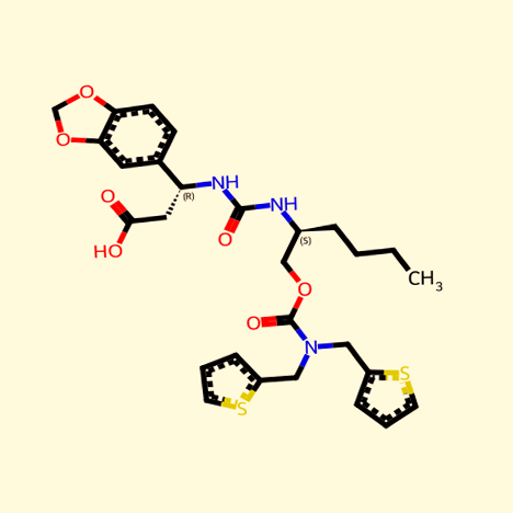 CCCC[C@@H](COC(=O)N(Cc1cccs1)Cc1cccs1)NC(=O)N[C@H](CC(=O)O)c1ccc2c(c1)OCO2